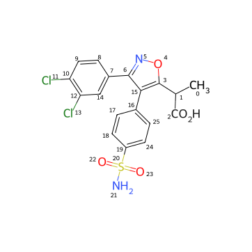 CC(C(=O)O)c1onc(-c2ccc(Cl)c(Cl)c2)c1-c1ccc(S(N)(=O)=O)cc1